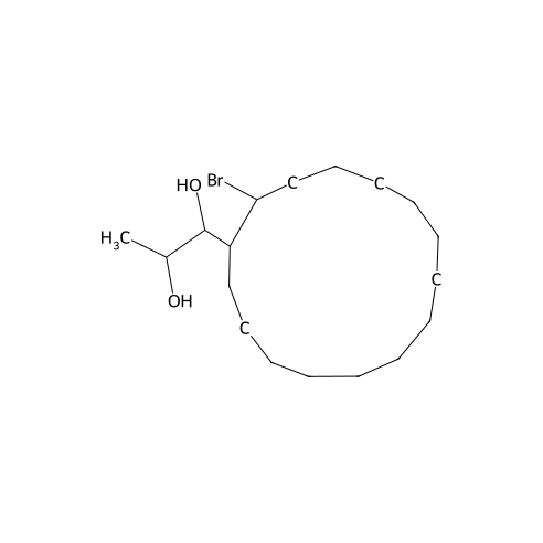 CC(O)C(O)C1CCCCCCCCCCCCCC1Br